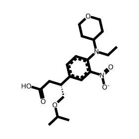 CCN(c1ccc([C@H](COC(C)C)CC(=O)O)cc1[N+](=O)[O-])C1CCOCC1